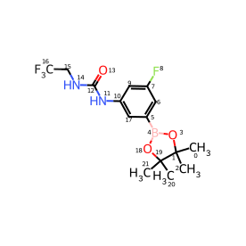 CC1(C)OB(c2cc(F)cc(NC(=O)NCC(F)(F)F)c2)OC1(C)C